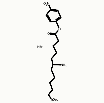 Br.CCCCCCCCCCCCCCCC(N)CCCCC(=O)Oc1ccc([N+](=O)[O-])cc1